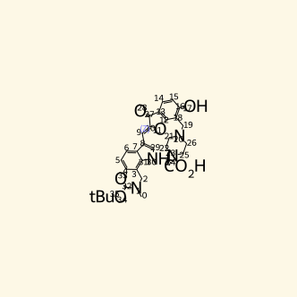 CN(Cc1cccc2c(/C=C3\Oc4c(ccc(O)c4CN4CCN(C(=O)O)CC4)C3=O)c[nH]c12)C(=O)OC(C)(C)C